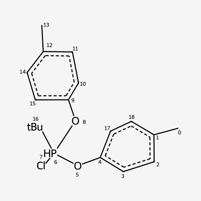 Cc1ccc(O[PH](Cl)(Oc2ccc(C)cc2)C(C)(C)C)cc1